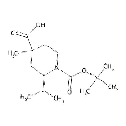 CC(C)C1CC(C)(C(=O)O)CCN1C(=O)OC(C)(C)C